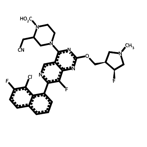 CN1C[C@H](COc2nc(N3CCN(C(=O)O)C(CC#N)C3)c3cnc(-c4cccc5ccc(F)c(Cl)c45)c(F)c3n2)[C@H](F)C1